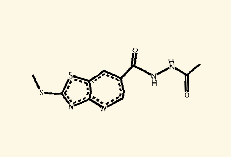 CSc1nc2ncc(C(=O)NNC(C)=O)cc2s1